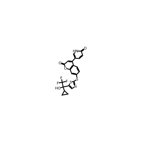 O=c1ccc(-c2cc(=O)oc3cc(Sc4ncc(C(O)(C5CC5)C(F)(F)F)s4)ccc23)c[nH]1